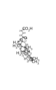 CC1(C)CCC23CCC4(C)C(CCC5C6(C)CCC(OC(=O)CCCC(=O)O)C(C)(C)C6CCC54C)C2C1OC3